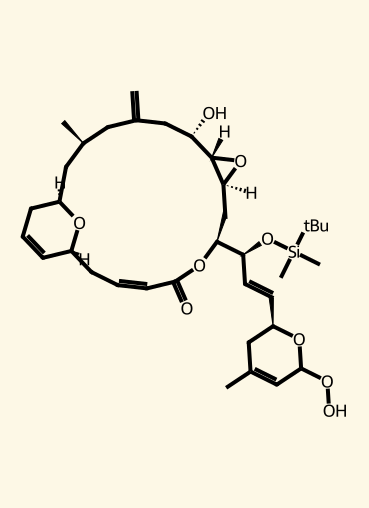 C=C1C[C@H](C)C[C@@H]2CC=C[C@@H](C/C=C\C(=O)O[C@H]([C@H](/C=C/[C@@H]3CC(C)=CC(OO)O3)O[Si](C)(C)C(C)(C)C)C[C@@H]3O[C@H]3[C@@H](O)C1)O2